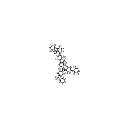 CC1(C)c2ccccc2-c2cc(N(c3ccc(-c4ccccc4)cc3)c3ccc4c(c3)C(C)(C)c3cc(-c5cccc6c5oc5ccccc56)ccc3-4)ccc21